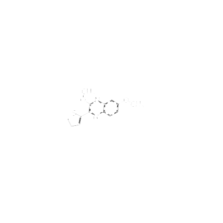 COc1ccc2nc(C3=CCCS3)c(OC)nc2c1